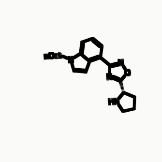 CCCCCCCCn1ccc2c(-c3noc([C@@H]4CCCN4)n3)cccc21